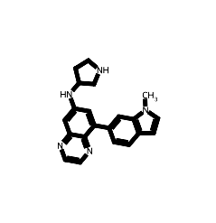 Cn1ccc2ccc(-c3cc(NC4CCNC4)cc4nccnc34)cc21